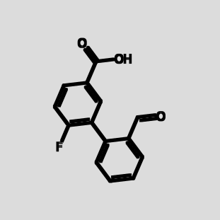 O=Cc1ccccc1-c1cc(C(=O)O)ccc1F